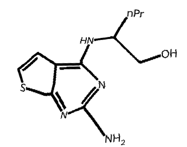 CCCC(CO)Nc1nc(N)nc2sccc12